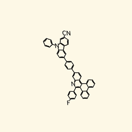 N#Cc1ccc2c3cc(-c4ccc(-c5ccc6c(c5)nc(-c5ccc(F)cc5)c5c7ccccc7c7ccccc7c65)cc4)ccc3n(-c3ccccc3)c2c1